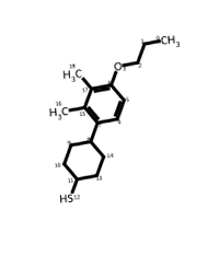 CCCOc1ccc(C2CCC(S)CC2)c(C)c1C